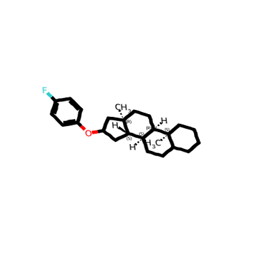 C[C@]12CC[C@@H]3[C@@H](CCC4CCCC[C@@]43C)[C@@H]1CC(Oc1ccc(F)cc1)C2